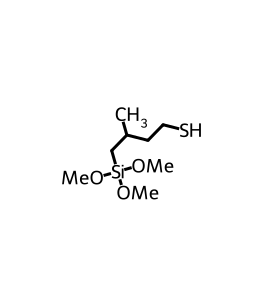 CO[Si](CC(C)CCS)(OC)OC